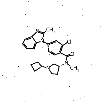 Cc1nc2ccccc2n1-c1ccc(C(=O)N(C)[C@@H]2CCN(C3CCC3)C2)c(Cl)c1